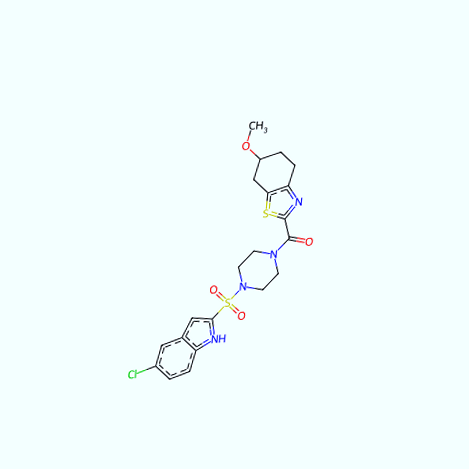 COC1CCc2nc(C(=O)N3CCN(S(=O)(=O)c4cc5cc(Cl)ccc5[nH]4)CC3)sc2C1